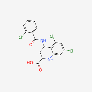 O=C(NC1CC(C(=O)O)Nc2cc(Cl)cc(Cl)c21)c1ccccc1Cl